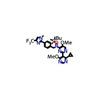 COc1cnc(-c2c(OC)ncnc2C2CC2)nc1N(Cc1ccc(-c2nc(C(F)(F)F)cn2C)cc1)O[Si](C)(C)C(C)(C)C